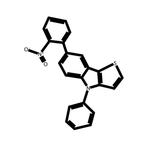 O=[N+]([O-])c1ccccc1-c1ccc2c(c1)c1sccc1n2-c1ccccc1